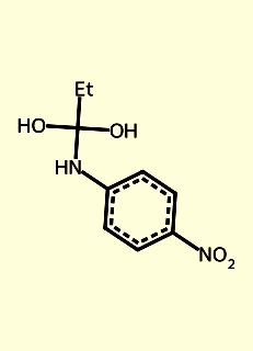 CCC(O)(O)Nc1ccc([N+](=O)[O-])cc1